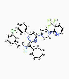 FC(F)(F)c1cccnc1N1CCN(c2cc(-c3cccc(Cl)c3)nc(C(NCCc3ccccc3)C3CCCCCC3)n2)CC1